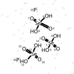 O=[Se](=O)(O)O.O=[Se](=O)(O)O.O=[Se](=O)(O)O.[P].[P]